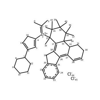 C[C](C)=[Zr+2]([C]1=CC(C2CCCCC2)=CC1)[C]1(C)C2=C3Cc4ccccc4C3=C3C=CCCC3C2(C)C(C)(C)C(C)(C)C1(C)C.[Cl-].[Cl-]